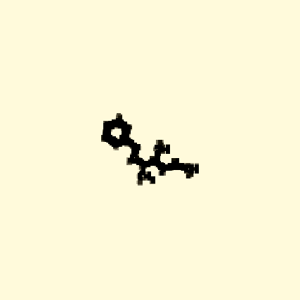 C[C@H](OCc1ccccc1)[C@@H](O)CCO